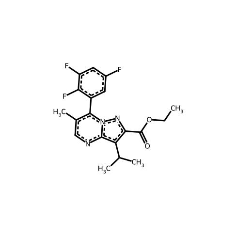 CCOC(=O)c1nn2c(-c3cc(F)cc(F)c3F)c(C)cnc2c1C(C)C